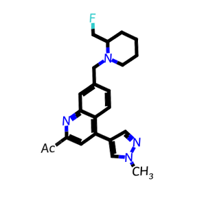 CC(=O)c1cc(-c2cnn(C)c2)c2ccc(CN3CCCCC3CF)cc2n1